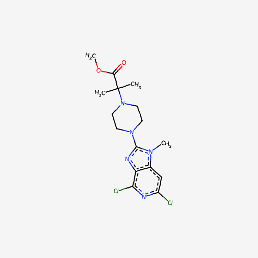 COC(=O)C(C)(C)N1CCN(c2nc3c(Cl)nc(Cl)cc3n2C)CC1